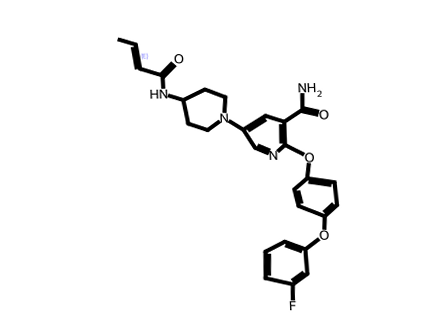 C/C=C/C(=O)NC1CCN(c2cnc(Oc3ccc(Oc4cccc(F)c4)cc3)c(C(N)=O)c2)CC1